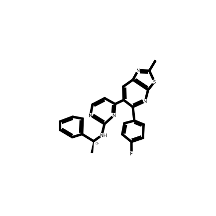 Cc1nc2cc(-c3ccnc(N[C@@H](C)c4ccccc4)n3)c(-c3ccc(F)cc3)nc2s1